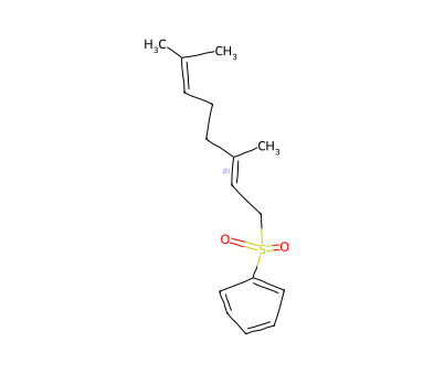 CC(C)=CCC/C(C)=C/CS(=O)(=O)c1ccccc1